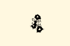 O=C(Nc1ccccc1)C1(Nc2ccccc2)CCCS1